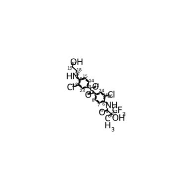 C[C@@](O)(C(=O)Nc1ccc(S(=O)(=O)c2ccc(NCCO)c(Cl)c2)cc1Cl)C(F)(F)F